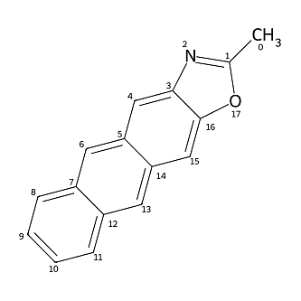 Cc1nc2cc3cc4ccccc4cc3cc2o1